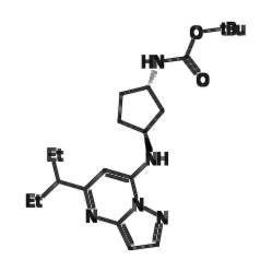 CCC(CC)c1cc(N[C@H]2CC[C@H](NC(=O)OC(C)(C)C)C2)n2nccc2n1